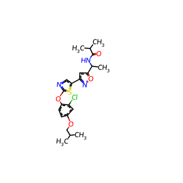 CC(C)COc1ccc(Oc2ncc(-c3cc(C(C)NC(=O)C(C)C)on3)s2)c(Cl)c1